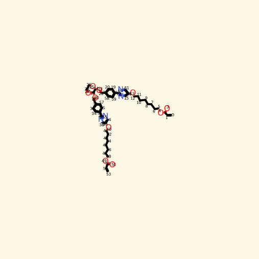 C=CC(=O)OCCCCCCCCOc1cnc(-c2ccc(COC3OCCOC3OCc3ccc(-c4ncc(OCCCCCCCCOC(=O)C=C)cn4)cc3)cc2)nc1